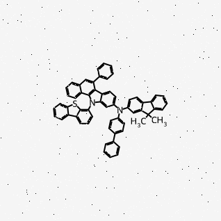 CC1(C)c2ccccc2-c2ccc(N(c3ccc(-c4ccccc4)cc3)c3ccc4c5c(-c6ccccc6)cc6ccccc6c5n(-c5cccc6c5sc5ccccc56)c4c3)cc21